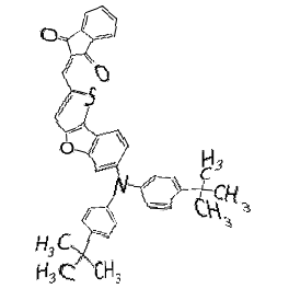 CC(C)(C)c1ccc(N(c2ccc(C(C)(C)C)cc2)c2ccc3c(c2)oc2cc(C=C4C(=O)c5ccccc5C4=O)sc23)cc1